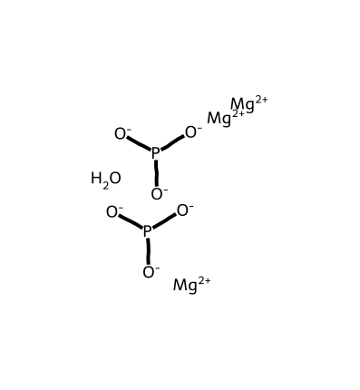 O.[Mg+2].[Mg+2].[Mg+2].[O-]P([O-])[O-].[O-]P([O-])[O-]